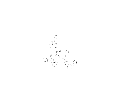 COC12CCCCC1(C)N(c1ccccc1)c1cc(-c3cc(-c4ccccc4)c4ccc5c(-c6ccc7c(c6)C6(OC)CCCCC6(C)N7c6ccccc6)cc(-c6ccc7c(c6)C6(OC)CCCCC6(C)N7c6ccccc6)c6ccc3c4c56)ccc12